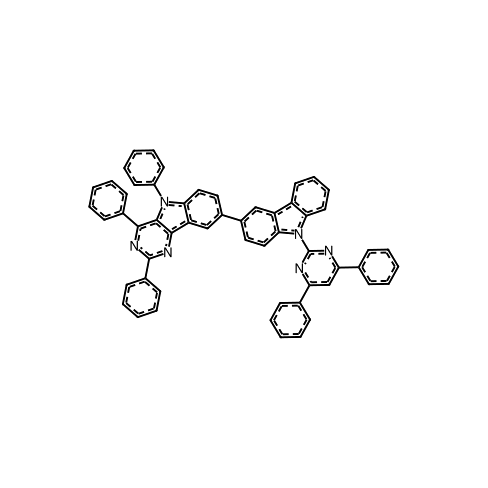 c1ccc(-c2cc(-c3ccccc3)nc(-n3c4ccccc4c4cc(-c5ccc6c(c5)c5nc(-c7ccccc7)nc(-c7ccccc7)c5n6-c5ccccc5)ccc43)n2)cc1